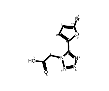 O=C(O)Cn1nnnc1-c1ccc(Br)o1